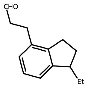 CCC1CCc2c(CCC=O)cccc21